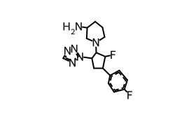 NC1CCCN(C2C(F)C(c3ccc(F)cc3)CC2n2ncnn2)C1